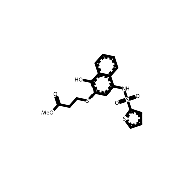 COC(=O)CCSc1cc(NS(=O)(=O)c2cccs2)c2ccccc2c1O